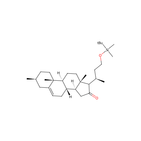 C[C@H]1CC[C@@]2(C)C(=CC[C@@H]3[C@@H]2CC[C@]2(C)C([C@H](C)CCO[Si](C)(C)C(C)(C)C)C(=O)C[C@@H]32)C1